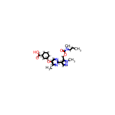 CCCN(C)C(=O)OCc1c(-c2ncc(O[C@H]3CCC[C@H](C(=O)O)C3)c(C)n2)cnn1C